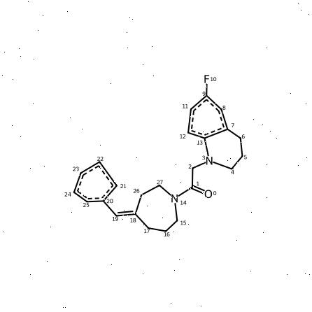 O=C(CN1CCCc2cc(F)ccc21)N1CCC/C(=C/c2ccccc2)CC1